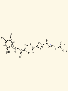 CN(C)C/C=C/C(=O)N1CC(N2CCN(C(=O)CNc3cc(Cl)c(Cl)cc3O)CC2)C1